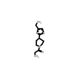 CCC(=O)N1CCC(c2nc(CC)cs2)CC1